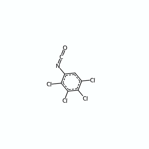 O=C=Nc1cc(Cl)c(Cl)c(Cl)c1Cl